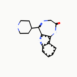 O=C1CN=C(C2CCNCC2)c2[nH]c3ccccc3c2N1